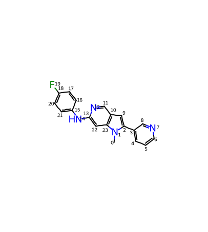 Cn1c(-c2cccnc2)cc2cnc(Nc3ccc(F)cc3)cc21